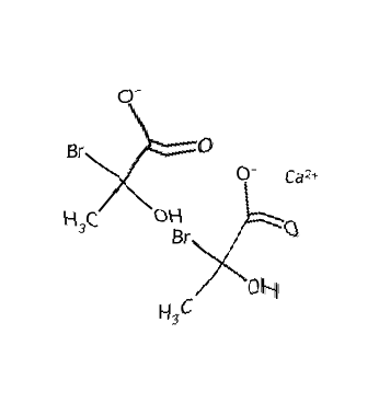 CC(O)(Br)C(=O)[O-].CC(O)(Br)C(=O)[O-].[Ca+2]